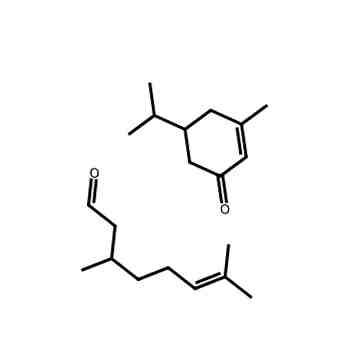 CC(C)=CCCC(C)CC=O.CC1=CC(=O)CC(C(C)C)C1